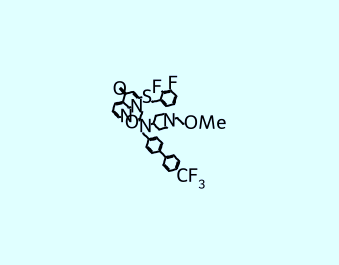 COCCN1CCC(N(Cc2ccc(-c3ccc(C(F)(F)F)cc3)cc2)C(=O)Cn2c(SCc3cccc(F)c3F)cc(=O)c3cccnc32)CC1